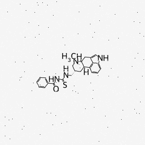 CN1C[C@@H](CNC(=S)NC(=O)c2ccccc2)C[C@H]2c3cccc4[nH]cc(c34)C[C@H]21